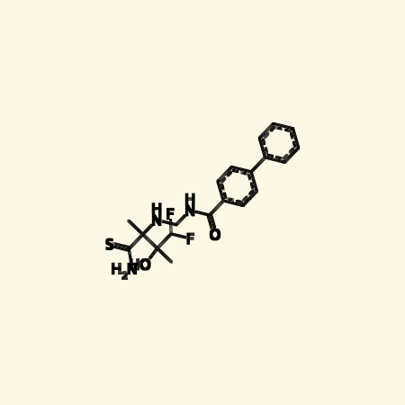 CC(NCNC(=O)c1ccc(-c2ccccc2)cc1)(C(N)=S)C(C)(O)C(F)F